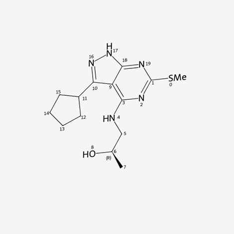 CSc1nc(NC[C@@H](C)O)c2c(C3CCCC3)n[nH]c2n1